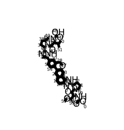 COC(=O)N[C@H](C(=O)N1[C@@H](C)CC[C@H]1c1nc2ccc3cc4c(cc3c2[nH]1)OCc1cc(-c2cnc([C@@H]3CCC(C)N3C(=O)[C@@H](NC(=O)O)C(C)C)[nH]2)ccc1-4)[C@@H](C)OC